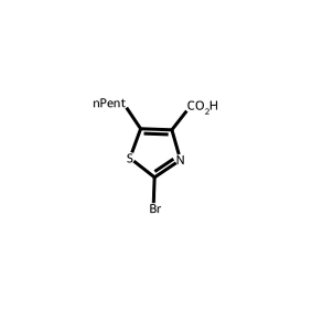 CCCCCc1sc(Br)nc1C(=O)O